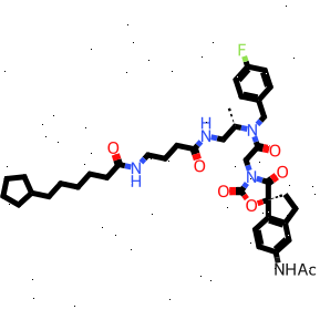 CC(=O)Nc1ccc2c(c1)CC[C@@]21OC(=O)N(CC(=O)N(Cc2ccc(F)cc2)[C@@H](C)CNC(=O)CCCNC(=O)CCCCCC2CCCC2)C1=O